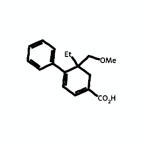 CCC1(COC)CC(C(=O)O)=CC=C1c1ccccc1